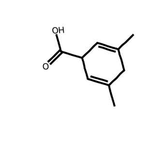 CC1=CC(C(=O)O)C=C(C)C1